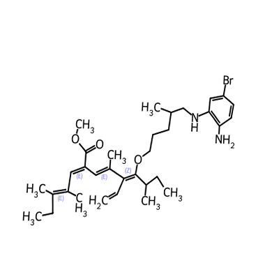 C=CC(=C(/OCCCC(C)CNc1cc(Br)ccc1N)C(C)CC)/C(C)=C/C(=C\C(C)=C(/C)CC)C(=O)OC